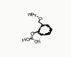 CCCOCc1ccccc1OB(O)O